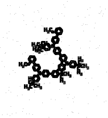 C=Cc1ccccc1-c1ccc(N(C2=CCC(C(C)(C)C)C=C2)c2ccc(-c3ccc4c(c3)-c3cc5c6cc(-c7ccc(N(C8=CCC(C)(C(C)(C)C)C=C8)c8ccc(-c9ccccc9C=C)cc8)cc7)ccc6n(-c6ccc(C(C)(C)C)cc6)c5cc3C4(C)C)cc2)cc1